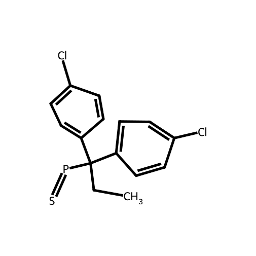 CCC(P=S)(c1ccc(Cl)cc1)c1ccc(Cl)cc1